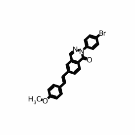 COc1ccc(/C=C/c2ccc3c(=O)n(-c4ccc(Br)cc4)ncc3c2)cc1